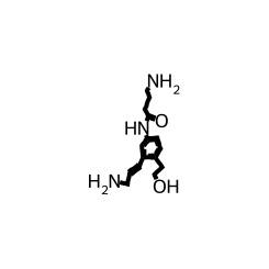 NCC#Cc1cc(NC(=O)CCCN)ccc1CCO